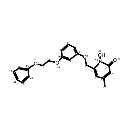 Cc1cc(COc2cccc(OCCOc3ccccc3)c2)n(O)c(=O)c1